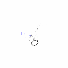 CCCCCCCCCCCCCCC(c1ccccc1)C(C)(C)N.Cl